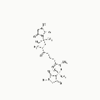 CCN1CC(=O)N(C(C)(C)CC(C)C(=O)CCCC(=O)C(C)CC(C)(C)N2C(=O)CN(CC)C2=O)C1=O